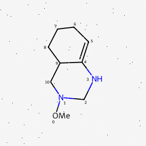 CON1CNC2=CCCCC2C1